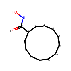 O=C(NO)C1CCCCCCCCCCC1